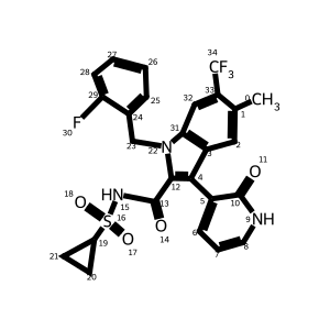 Cc1cc2c(-c3ccc[nH]c3=O)c(C(=O)NS(=O)(=O)C3CC3)n(Cc3ccccc3F)c2cc1C(F)(F)F